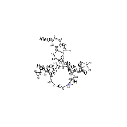 COc1ccc2nc(C)c3c(c2c1)CC[C@]1(C[C@H]2C(=O)N[C@]4(C(=O)NS(=O)(=O)C5(C)CC5)C[C@H]4/C=C\CCCCC[C@H](N(CC4(C(F)(F)F)CC4)C(=O)O)C(=O)N2C1)O3